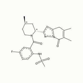 CC1=C(C)C(=O)n2nc([C@H]3C[C@H](C)CCN3C(=O)c3cc(F)ccc3NS(C)(=O)=O)cc2C1